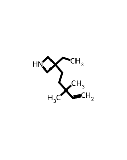 C=CC(C)(C)CCC1(CC)CNC1